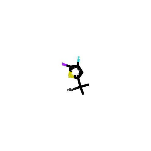 CCCCC(C)(C)c1cc(F)c(I)s1